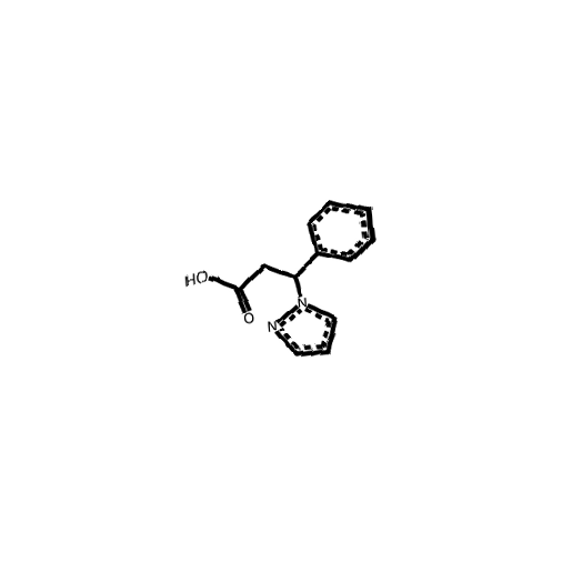 O=C(O)CC(c1ccccc1)n1cccn1